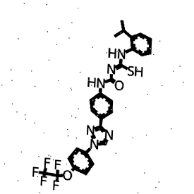 CC(C)c1ccccc1N/C(S)=N/C(=O)Nc1ccc(-c2ncn(-c3ccc(OC(F)(F)C(F)(F)F)cc3)n2)cc1